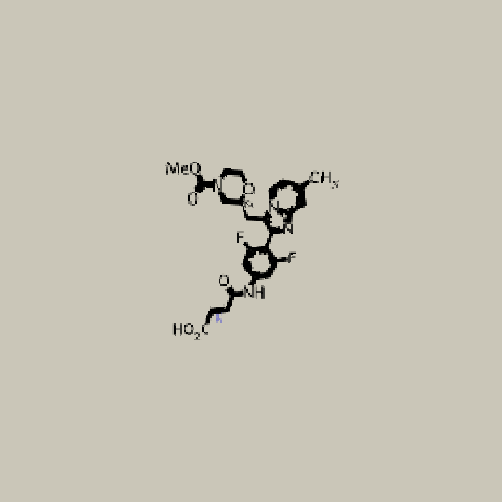 COC(=O)N1CCO[C@@H](Cc2c(-c3c(F)cc(NC(=O)/C=C/C(=O)O)cc3F)nc3cc(C)ccn23)C1